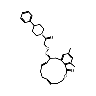 Cc1cc(C)c2c(c1)CC(=N\OCC(=O)N1CCC(c3ccccc3)CC1)/C=C/CC/C=C/CCOC2=O